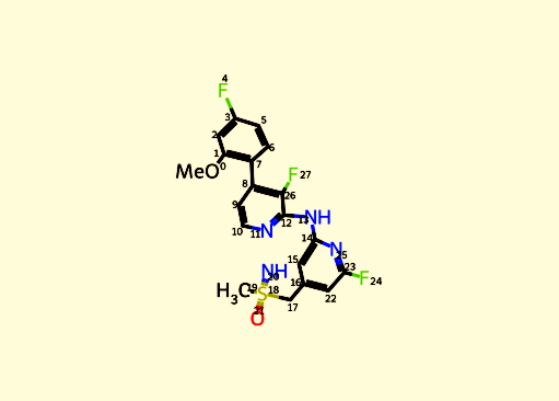 COc1cc(F)ccc1-c1ccnc(Nc2cc(CS(C)(=N)=O)cc(F)n2)c1F